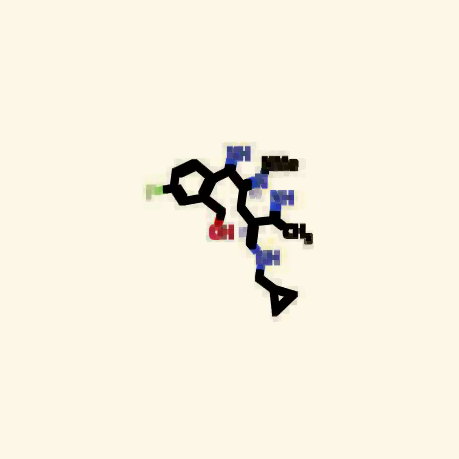 CN/N=C(/C/C(=C/NCC1CC1)C(C)=N)C(=N)c1ccc(F)cc1CO